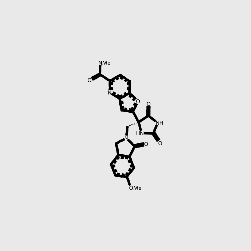 CNC(=O)c1ccc2oc([C@]3(CN4Cc5ccc(OC)cc5C4=O)NC(=O)NC3=O)cc2n1